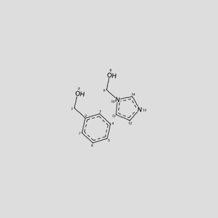 OCc1ccccc1.OCn1ccnc1